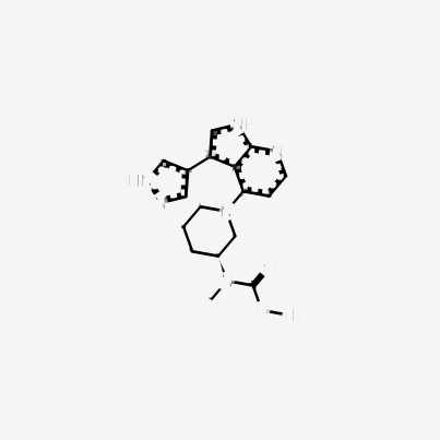 CN(C(=O)OC(C)(C)C)[C@H]1CCCN(c2ccnc3[nH]cc(-c4cn[nH]c4)c23)C1